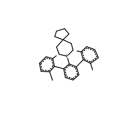 Cc1cccc(C)c1-c1cccc(-c2c(C)cccc2C)c1P1CCC2(CCCC2)CC1